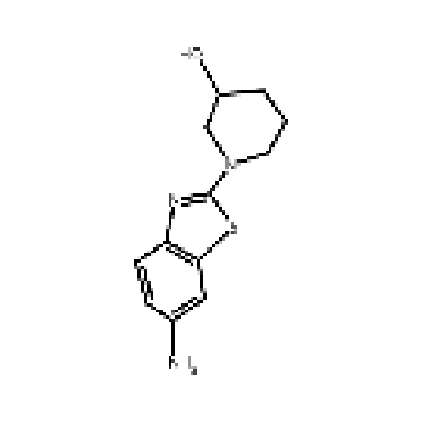 Nc1ccc2nc(N3CCCC(O)C3)sc2c1